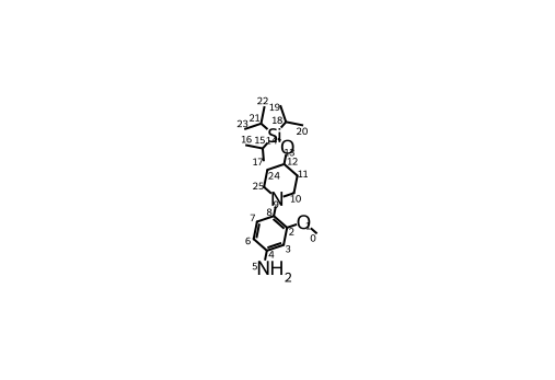 COc1cc(N)ccc1N1CCC(O[Si](C(C)C)(C(C)C)C(C)C)CC1